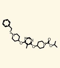 Cc1c(OC2CCN(SCc3ccccc3)CC2)ncnc1OC1CCN(C(=O)OC(C)C)CC1